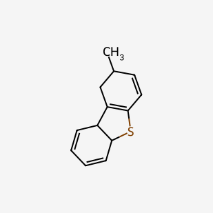 CC1C=CC2=C(C1)C1C=CC=CC1S2